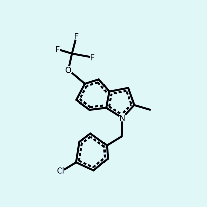 Cc1cc2cc(OC(F)(F)F)ccc2n1Cc1ccc(Cl)cc1